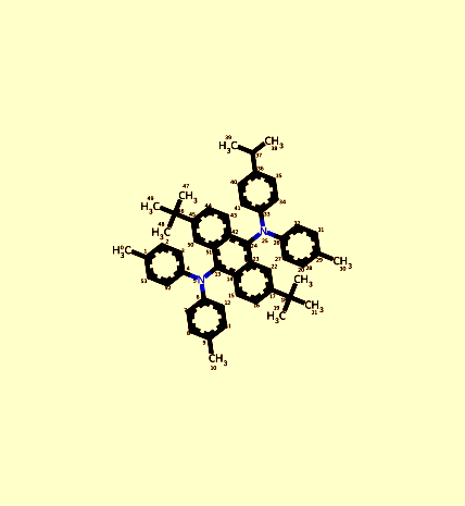 Cc1ccc(N(c2ccc(C)cc2)c2c3ccc(C(C)(C)C)cc3c(N(c3ccc(C)cc3)c3ccc(C(C)C)cc3)c3ccc(C(C)(C)C)cc23)cc1